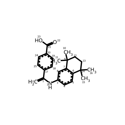 C=C(Nc1ccc2c(c1)C(C)(C)CCC2(C)C)c1ccc(C(=O)O)cc1